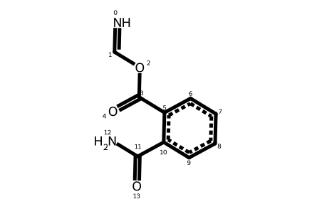 N=COC(=O)c1ccccc1C(N)=O